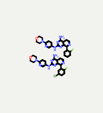 Nc1nc(Nc2ccc(N3CCOCC3)nc2)nc2c(-c3cc(Cl)ccc3F)nccc12.Nc1nc(Nc2ccc(N3CCOCC3)nc2)nc2c(-c3ccccc3F)nccc12